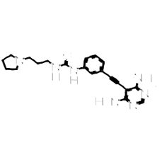 Nc1ncnc(N)c1C#Cc1cccc(NC(=O)NCCCN2CCCC2)c1